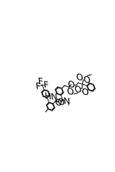 CCOC(=O)C(CCOC(=O)Cc1ccc(NC(=O)c2ccc(C)cc2-c2ccc(C(F)(F)F)cc2)c(C(=O)N(C)C)c1)(C(=O)OCC)c1ccccc1